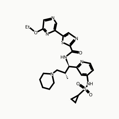 CCOc1cncc(-c2cnc(C(=O)N[C@@H](c3cc(NS(=O)(=O)C4CC4)ccn3)[C@H](C)CN3CCCCC3)s2)n1